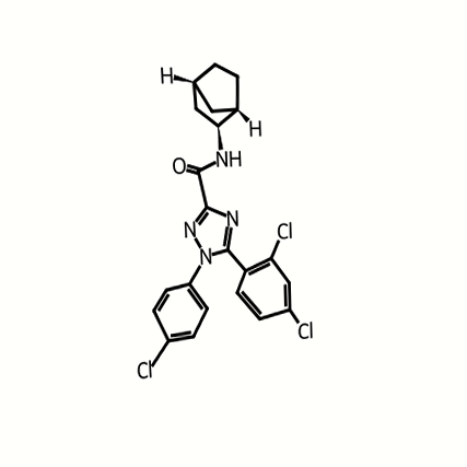 O=C(N[C@H]1C[C@@H]2CC[C@H]1C2)c1nc(-c2ccc(Cl)cc2Cl)n(-c2ccc(Cl)cc2)n1